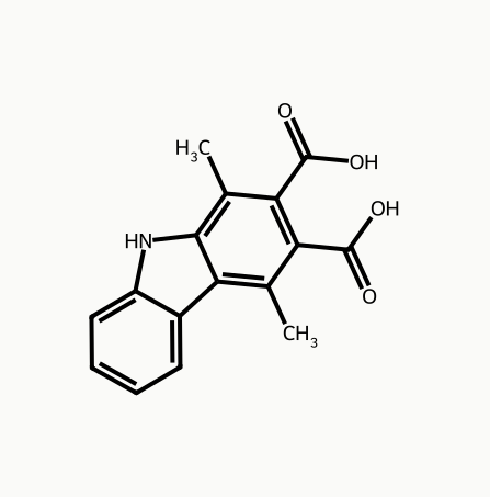 Cc1c(C(=O)O)c(C(=O)O)c(C)c2c1[nH]c1ccccc12